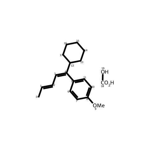 C/C=C/C=C(\c1ccc(OC)cc1)C1CCCCC1.O=C(O)O